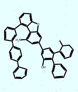 CC1CC=CC=C1c1cc(-c2cc(N)c3c(c2)oc2cccc(-c4cccc(-c5ccc(-c6ccccc6)cc5)c4)c23)cc(O)c1-c1ccccc1